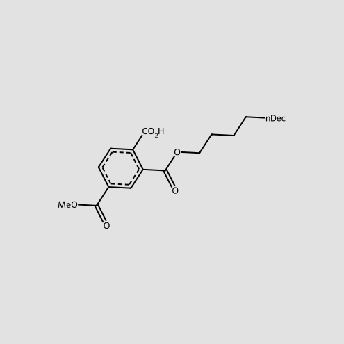 CCCCCCCCCCCCCCOC(=O)c1cc(C(=O)OC)ccc1C(=O)O